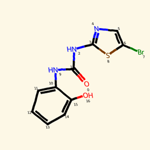 O=C(Nc1ncc(Br)s1)Nc1ccccc1O